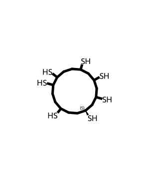 SC1CCC(S)C(S)CCC(S)CC(S)CC(S)C[C@@H](S)CC1